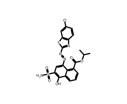 CC(C)OC(=O)c1cccc2c(O)c(S(N)(=O)=O)cc(/N=N/c3nc4ccc(Cl)cc4s3)c12